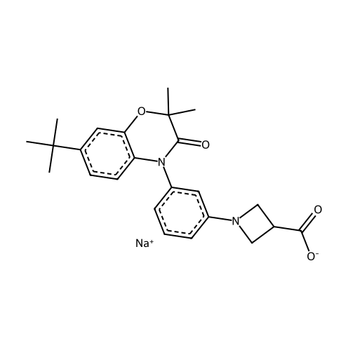 CC1(C)Oc2cc(C(C)(C)C)ccc2N(c2cccc(N3CC(C(=O)[O-])C3)c2)C1=O.[Na+]